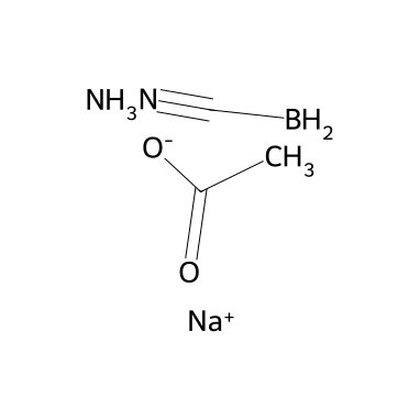 BC#N.CC(=O)[O-].N.[Na+]